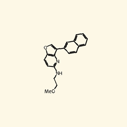 COCCNc1ccc2occ(-c3ccc4ccccc4c3)c2n1